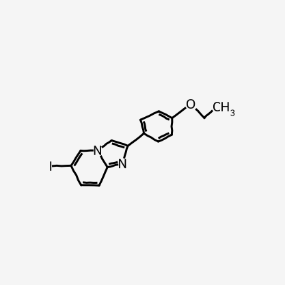 CCOc1ccc(-c2cn3cc(I)ccc3n2)cc1